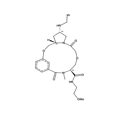 COCCNC(=O)[C@@H]1COCC(=O)N2C[C@@H](NCC(C)C)C[C@H]2COc2cccc(c2)C(=O)N1C